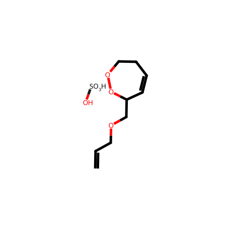 C=CCOCC1C=CCCOO1.O=S(=O)(O)O